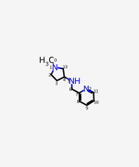 CN1CCC(NCc2ccccn2)C1